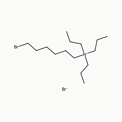 CCC[N+](CCC)(CCC)CCCCCCBr.[Br-]